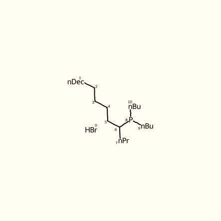 Br.CCCCCCCCCCCCCCC(CCC)P(CCCC)CCCC